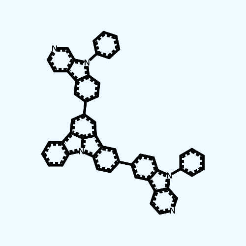 c1ccc(-n2c3ccc(-c4ccc5c(c4)c4cc(-c6ccc7c(c6)c6ccncc6n7-c6ccccc6)cc6c7ccccc7n5c64)cc3c3ccncc32)cc1